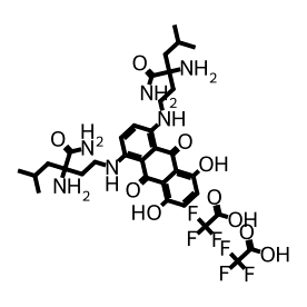 CC(C)CC(N)(CCNc1ccc(NCCC(N)(CC(C)C)C(N)=O)c2c1C(=O)c1c(O)ccc(O)c1C2=O)C(N)=O.O=C(O)C(F)(F)F.O=C(O)C(F)(F)F